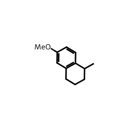 COc1ccc2c(c1)CCCC2C